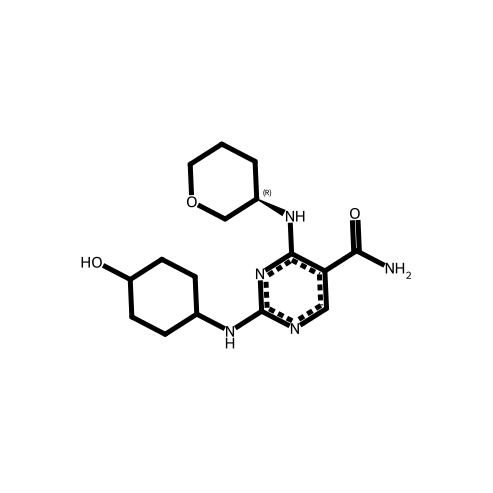 NC(=O)c1cnc(NC2CCC(O)CC2)nc1N[C@@H]1CCCOC1